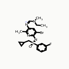 CCN(C)/C=N\c1cc(Br)c(N=S(=O)(CC2CC2)c2cccc(F)c2)nc1C